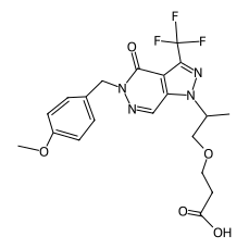 COc1ccc(Cn2ncc3c(c(C(F)(F)F)nn3C(C)COCCC(=O)O)c2=O)cc1